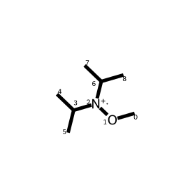 CO[N+](C(C)C)C(C)C